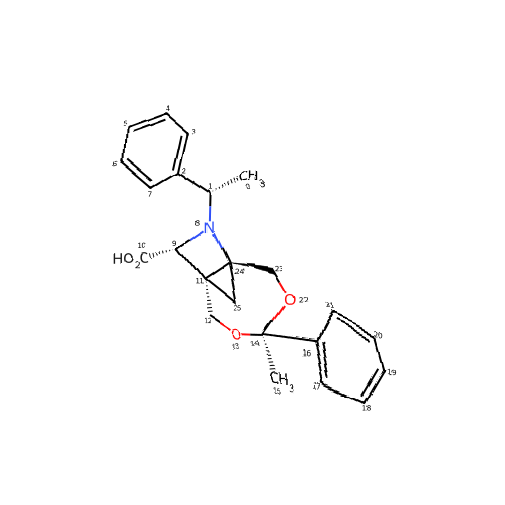 C[C@@H](c1ccccc1)N1[C@@H](C(=O)O)[C@@]23CO[C@](C)(c4ccccc4)OC[C@]12C3